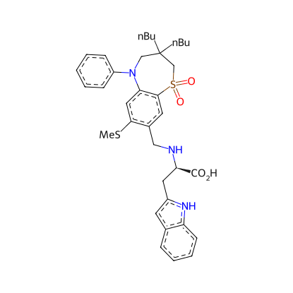 CCCCC1(CCCC)CN(c2ccccc2)c2cc(SC)c(CN[C@H](Cc3cc4ccccc4[nH]3)C(=O)O)cc2S(=O)(=O)C1